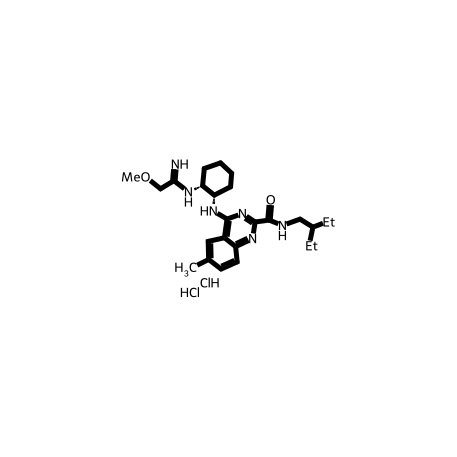 CCC(CC)CNC(=O)c1nc(N[C@H]2CCCC[C@H]2NC(=N)COC)c2cc(C)ccc2n1.Cl.Cl